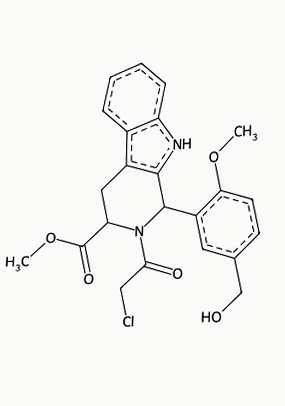 COC(=O)C1Cc2c([nH]c3ccccc23)C(c2cc(CO)ccc2OC)N1C(=O)CCl